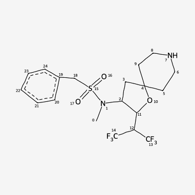 CN(C1CC2(CCNCC2)OC1C(C(F)(F)F)C(F)(F)F)S(=O)(=O)Cc1ccccc1